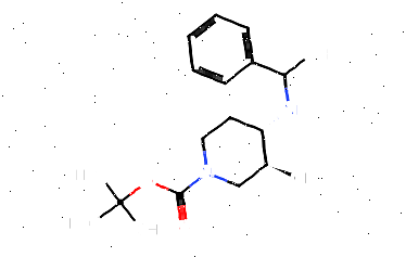 CC(N[C@H]1CCN(C(=O)OC(C)(C)C)C[C@@H]1C)c1ccccc1